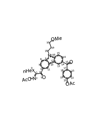 CCCCCC/C(=N\OC(C)=O)C(=O)c1ccc2c(c1)c1cc(C(=O)c3ccc(OC(C)=O)cc3)ccc1n2CCCOC